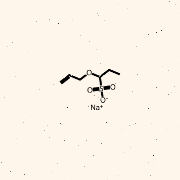 C=CCOC(CC)S(=O)(=O)[O-].[Na+]